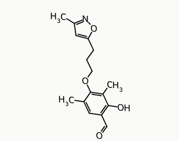 Cc1cc(CCCOc2c(C)cc(C=O)c(O)c2C)on1